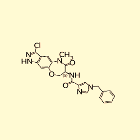 CN1C(=O)[C@@H](NC(=O)c2cn(Cc3ccccc3)cn2)COc2cc3[nH]nc(Cl)c3cc21